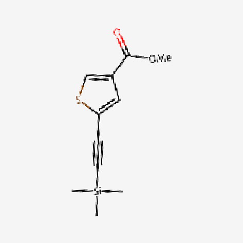 COC(=O)c1csc(C#C[Si](C)(C)C)c1